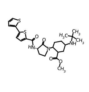 COC(=O)C1CC(NC(C)(C)C)CCC1N1CC[C@H](NC(=O)c2ccc(-c3cccs3)s2)C1=O